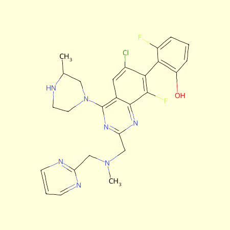 CC1CN(c2nc(CN(C)Cc3ncccn3)nc3c(F)c(-c4c(O)cccc4F)c(Cl)cc23)CCN1